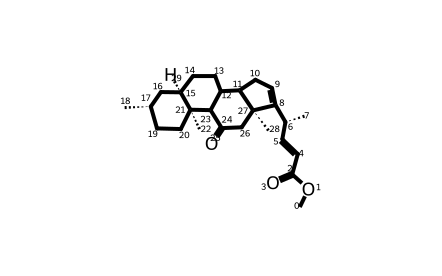 COC(=O)/C=C/[C@@H](C)C1=CCC2C3CC[C@@H]4C[C@@H](C)CC[C@]4(C)C3C(=O)C[C@]12C